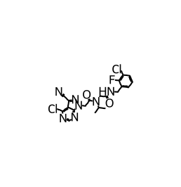 CC(C)N(CC(=O)NCc1cccc(Cl)c1F)C(=O)Cn1nc(C#N)c2c(Cl)ncnc21